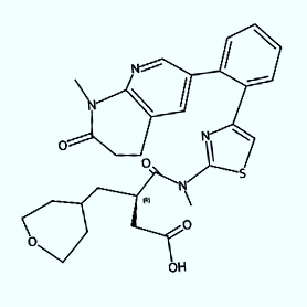 CN(C(=O)[C@@H](CC(=O)O)CC1CCOCC1)c1nc(-c2ccccc2-c2cnc3c(c2)CCC(=O)N3C)cs1